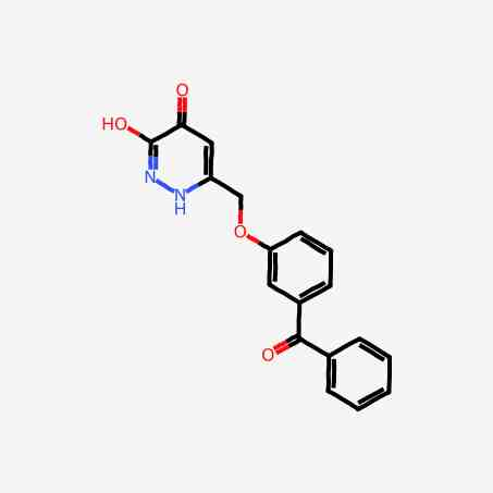 O=C(c1ccccc1)c1cccc(OCc2cc(=O)c(O)n[nH]2)c1